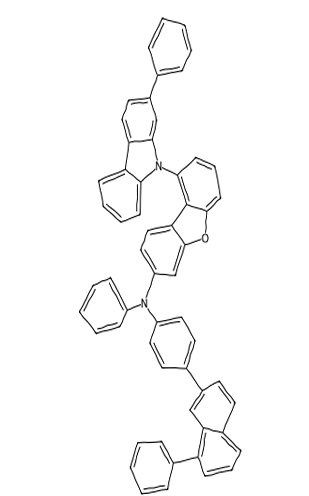 c1ccc(-c2ccc3c4ccccc4n(-c4cccc5oc6cc(N(c7ccccc7)c7ccc(-c8ccc9cccc(-c%10ccccc%10)c9c8)cc7)ccc6c45)c3c2)cc1